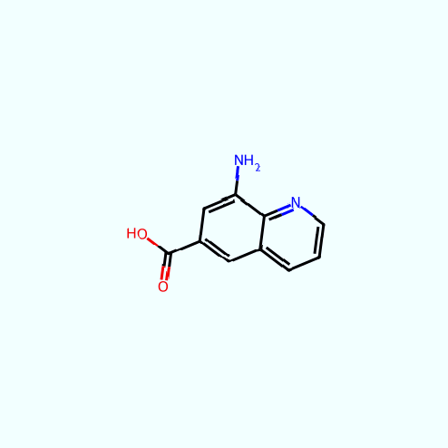 Nc1cc(C(=O)O)cc2cccnc12